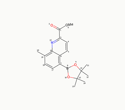 COC(=O)c1ccc2c(B3OC(C)(C)C(C)(C)O3)ccc(C)c2n1